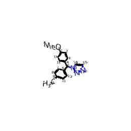 COc1ccc(C(c2ccc(C)cc2)n2ccnn2)cc1